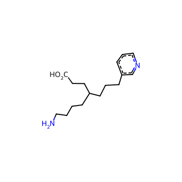 NCCCCC(CCCc1cccnc1)CCC(=O)O